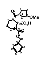 CO[C@H]1CCN(C(=O)[C@H]2CCCN(C(=O)OCc3ccccc3)[C@H]2C(=O)O)C1